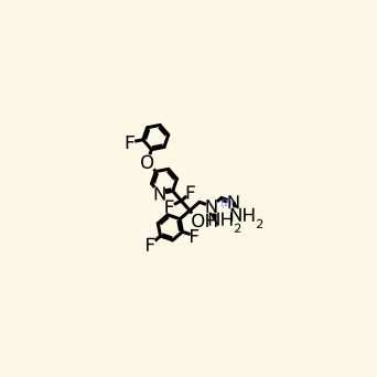 N/N=C\N(N)CC(O)(c1ccc(F)cc1F)C(F)(F)c1ccc(Oc2ccccc2F)cn1